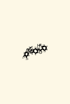 CCS(=O)(=O)N(Cc1ccc(NC(=O)c2ccccc2F)cc1)c1ccc(C)c(C)c1